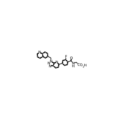 O=C(O)CNC(=O)c1ccc(-c2ccc3nnn(Cc4ccc5ncccc5c4)c3n2)cc1F